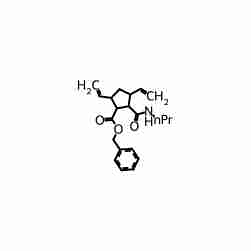 C=CC1CC(C=C)C(C(=O)OCc2ccccc2)C1C(=O)NCCC